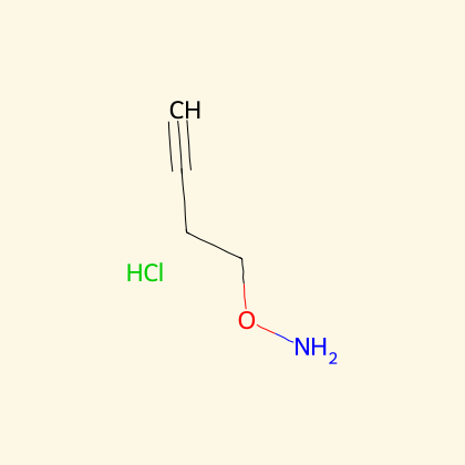 C#CCCON.Cl